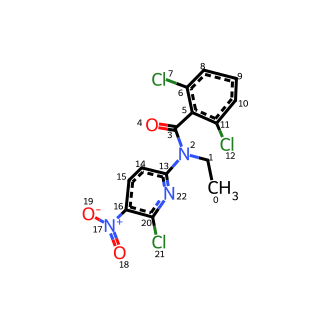 CCN(C(=O)c1c(Cl)cccc1Cl)c1ccc([N+](=O)[O-])c(Cl)n1